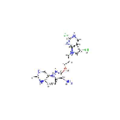 COc1nc(C)ncc1-n1nc(OCCCn2cc(Cl)c3cnc(Cl)nc32)c(N)c1C